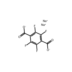 O=C([O-])c1c(F)c(F)c(C(=O)[O-])c(F)c1F.[Na+].[Na+]